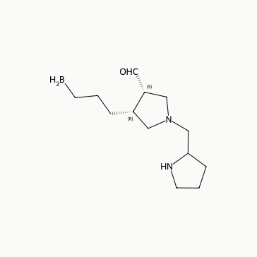 BCCC[C@H]1CN(CC2CCCN2)C[C@H]1C=O